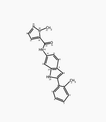 Cc1ccccc1-c1cc2ccc(NC(=O)c3ccnn3C)cc2[nH]1